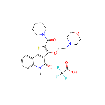 Cn1c(=O)c2c(OCCN3CCOCC3)c(C(=O)N3CCCCC3)sc2c2ccccc21.O=C(O)C(F)(F)F